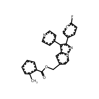 Cc1ccccc1C(=O)OCc1ccn2nc(-c3ccc(F)cc3)c(-c3ccncc3)c2c1